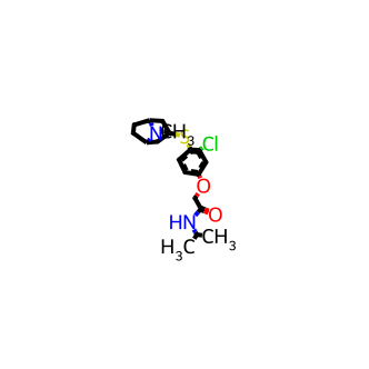 CC(C)NC(=O)COc1ccc(SC2CC3CCC(C2)N3C)c(Cl)c1